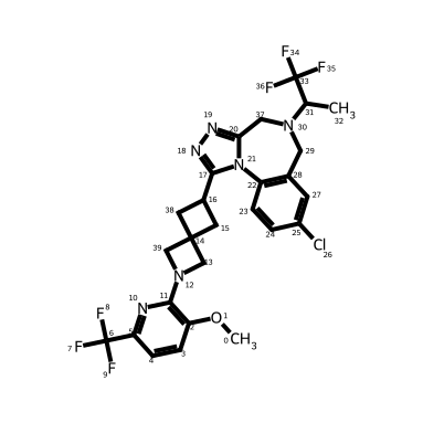 COc1ccc(C(F)(F)F)nc1N1CC2(CC(c3nnc4n3-c3ccc(Cl)cc3CN(C(C)C(F)(F)F)C4)C2)C1